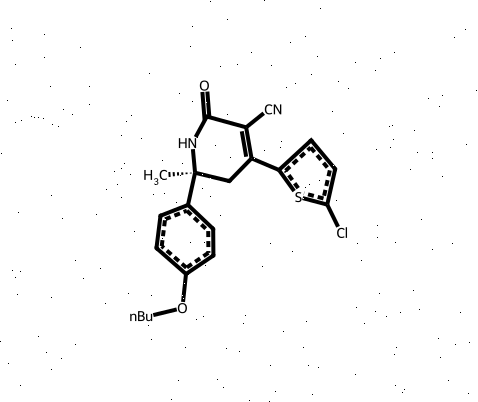 CCCCOc1ccc([C@]2(C)CC(c3ccc(Cl)s3)=C(C#N)C(=O)N2)cc1